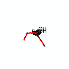 CCCCCCCCC/C=C\CCCCCCCC(=O)OC[C@H](COP(=O)(O)OC[C@@H](O)CO)OC(=O)CCCCCCCCCCCCCCCCCCC